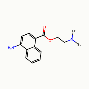 CCN(CC)CCOC(=O)c1ccc(N)c2ccccc12